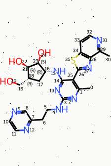 Cc1nc(NCCc2cnccn2)nc(N[C@@H]2C[C@H](CO)[C@@H](O)[C@H]2O)c1-c1nc2c(C)nccc2s1